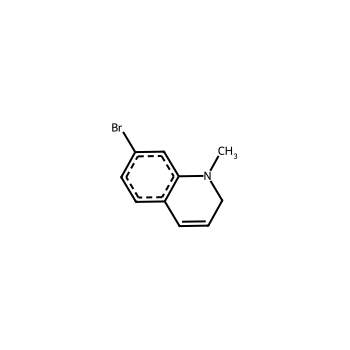 CN1CC=Cc2ccc(Br)cc21